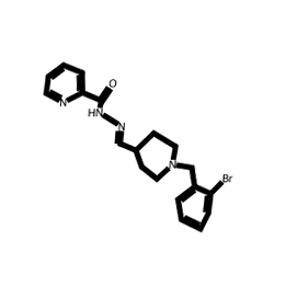 O=C(NN=CC1CCN(Cc2ccccc2Br)CC1)c1ccccn1